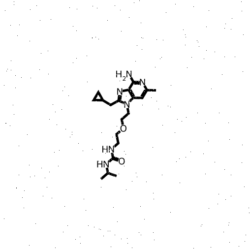 Cc1cc2c(nc(CC3CC3)n2CCOCCNC(=O)NC(C)C)c(N)n1